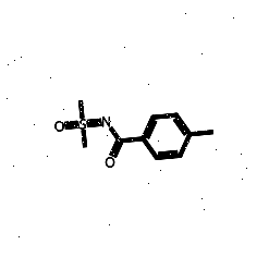 Cc1ccc(C(=O)N=S(C)(C)=O)cc1